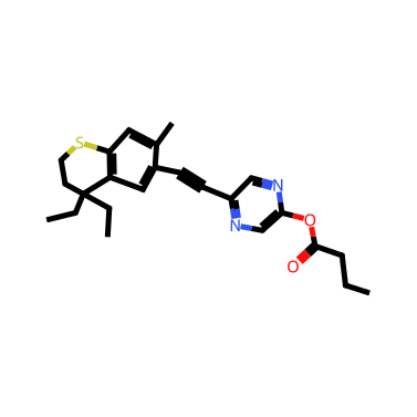 CCCC(=O)Oc1cnc(C#Cc2cc3c(cc2C)SCCC3(CC)CC)cn1